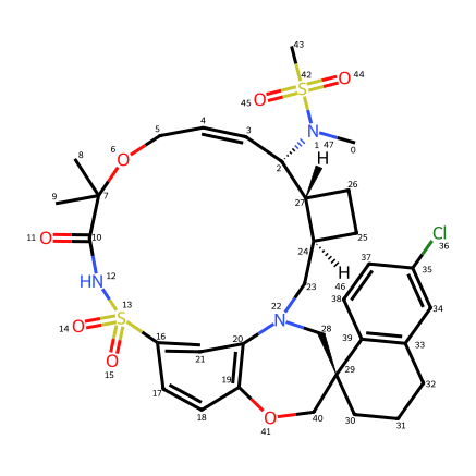 CN([C@H]1C=CCOC(C)(C)C(=O)NS(=O)(=O)c2ccc3c(c2)N(C[C@@H]2CC[C@H]21)C[C@@]1(CCCc2cc(Cl)ccc21)CO3)S(C)(=O)=O